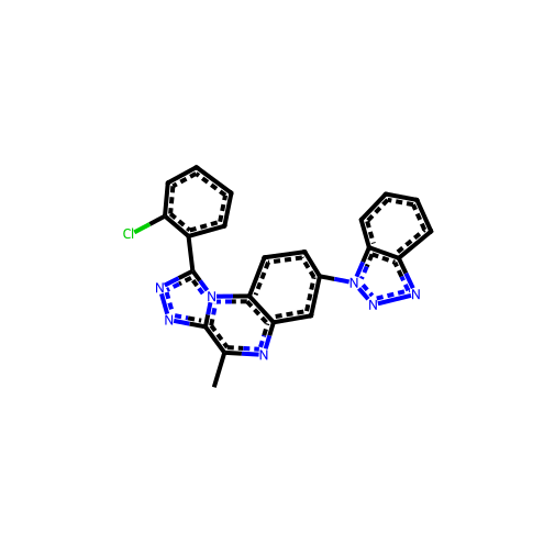 Cc1nc2cc(-n3nnc4ccccc43)ccc2n2c(-c3ccccc3Cl)nnc12